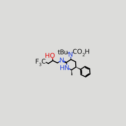 C[C@H]1N/C(=N\CC(O)CC(F)(F)F)[C@@H](N(C(=O)O)C(C)(C)C)C[C@H]1c1ccccc1